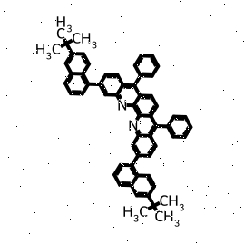 CC(C)(C)c1ccc2c(-c3ccc4c(-c5ccccc5)c5ccc6c(-c7ccccc7)c7ccc(-c8cccc9cc(C(C)(C)C)ccc89)cc7nc6c5nc4c3)cccc2c1